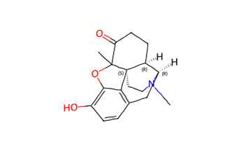 CN1CC[C@]23c4c5ccc(O)c4OC2(C)C(=O)CC[C@H]3[C@H]1C5